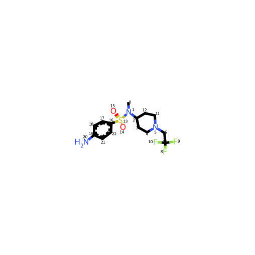 CN(C1CCN(CC(F)(F)F)CC1)S(=O)(=O)c1ccc(N)cc1